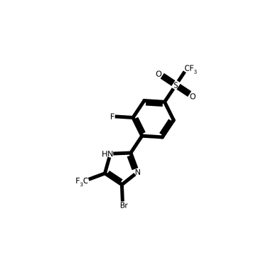 O=S(=O)(c1ccc(-c2nc(Br)c(C(F)(F)F)[nH]2)c(F)c1)C(F)(F)F